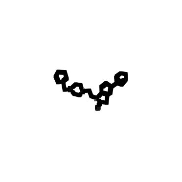 O=C1Cc2cc(C3CC4CCC3C4)ccc2N1CCN1CCN(Cc2ccccc2)CC1